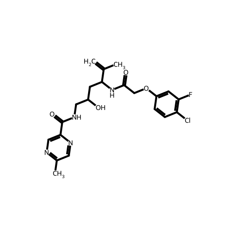 C=C(C)C(CC(O)CNC(=O)c1cnc(C)cn1)NC(=O)COc1ccc(Cl)c(F)c1